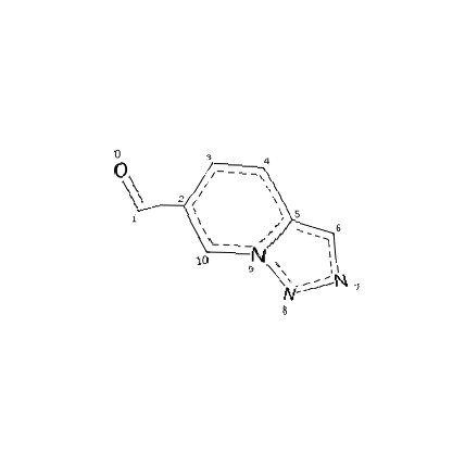 O=Cc1ccc2cnnn2c1